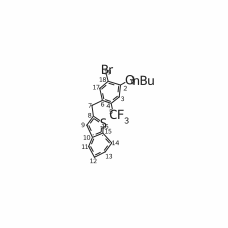 CCCCOc1cc(C(F)(F)F)c(Cc2cc3ccccc3s2)cc1Br